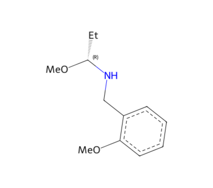 CC[C@H](NCc1ccccc1OC)OC